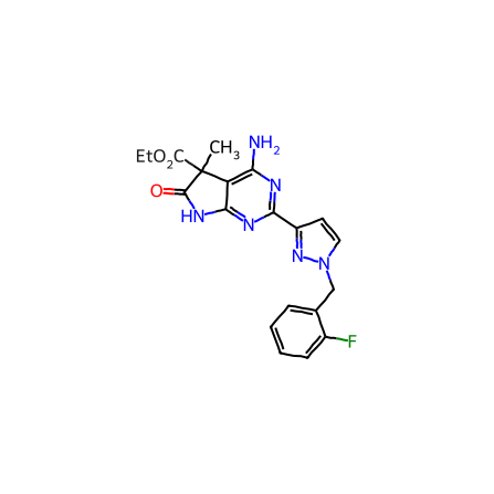 CCOC(=O)C1(C)C(=O)Nc2nc(-c3ccn(Cc4ccccc4F)n3)nc(N)c21